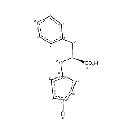 O=C(O)[C@H](Cc1ccccc1)Oc1ccc(Cl)cc1